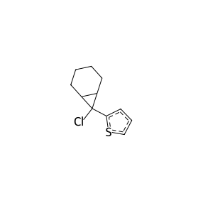 ClC1(c2cccs2)C2CCCCC21